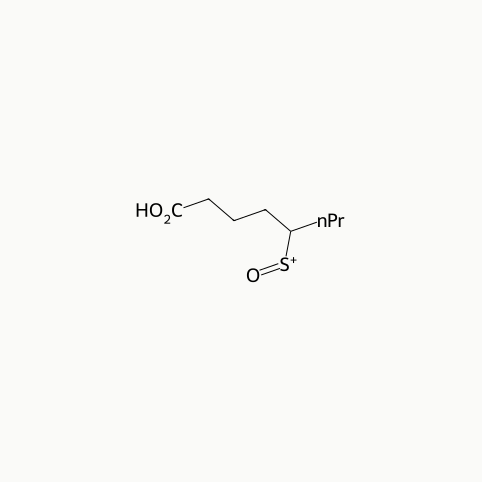 CCCC(CCCC(=O)O)[S+]=O